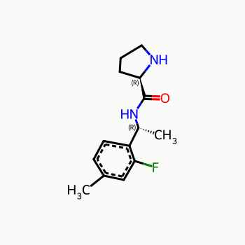 Cc1ccc([C@@H](C)NC(=O)[C@H]2CCCN2)c(F)c1